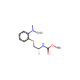 C[C@H](CSc1ccccc1N(C)C=O)NC(=O)OC(C)(C)C